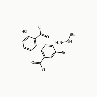 CC(C)(C)NN.Cl.O=C(Cl)c1cccc(Br)c1.O=C(Cl)c1ccccc1